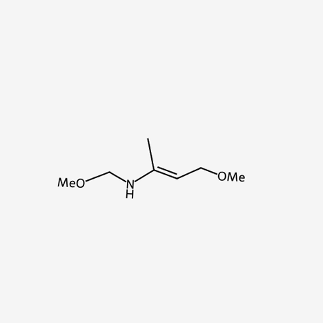 COC/C=C(\C)NCOC